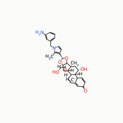 Cc1c([C@@H]2O[C@@H]3C[C@H]4[C@@H]5CCC6=CC(=O)C=C[C@]6(C)[C@H]5[C@@H](O)C[C@]4(C)[C@]3(C(=O)CO)O2)ccn1Cc1cccc(N)c1